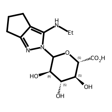 CCNc1c2c(nn1C1O[C@H](C(=O)O)[C@@H](O)[C@H](O)[C@H]1O)CCC2